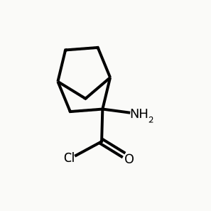 NC1(C(=O)Cl)CC2CCC1C2